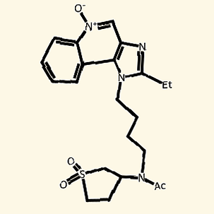 CCc1nc2c[n+]([O-])c3ccccc3c2n1CCCCN(C(C)=O)C1CCS(=O)(=O)C1